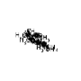 COc1ccc(Cn2c(-c3cc(C)nc(C)c3)c(C)c3ccc(-c4ccc(N5CCN(CC(C)(C)O)CC5)nc4)cc32)cc1